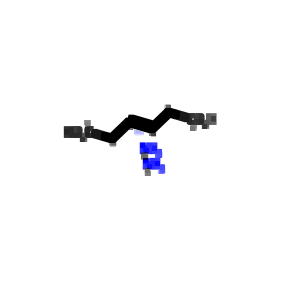 N.N.O=C(O)C/C=C/CC(=O)O